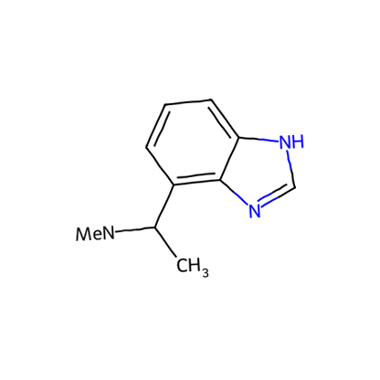 CNC(C)c1cccc2[nH]cnc12